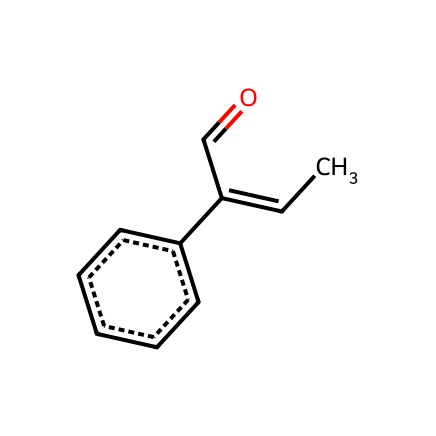 CC=C(C=O)c1ccccc1